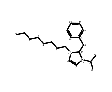 CCCCCCCCN1C=CN(C(C)C)C1Cc1ccccc1